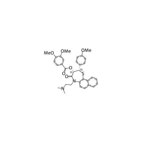 COc1ccc([C@@H]2Sc3c(ccc4ccccc34)N(CCN(C)C)C(=O)[C@@H]2OC(=O)c2ccc(OC)c(OC)c2)cc1